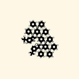 CC(C)(C)c1ccc2oc3c(c2c1)N(c1ccccc1)c1cc(N(c2ccccc2)c2ccccc2)cc2c1B3c1cc3c(cc1N2c1ccccc1)N(c1ccccc1)c1cc(N(c2ccccc2)c2ccccc2)cc2c1B3c1sc3ccc(C(C)(C)C)cc3c1N2c1ccccc1